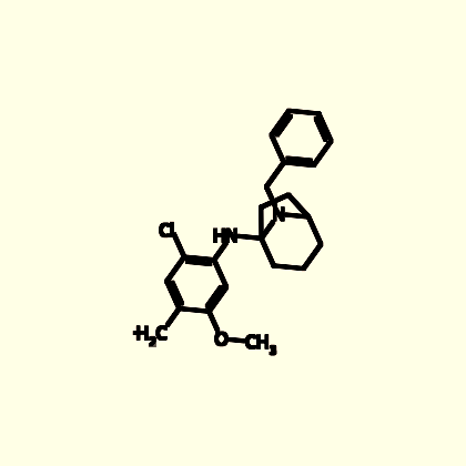 [CH2]c1cc(Cl)c(NC23CCCC(CC2)N3Cc2ccccc2)cc1OC